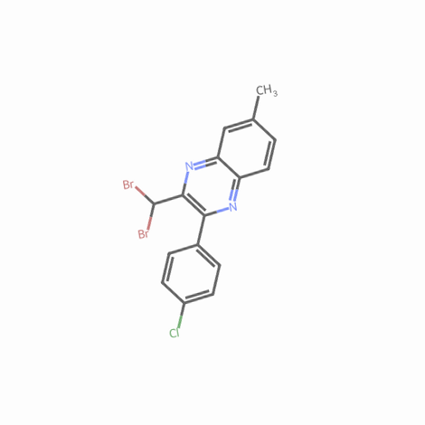 Cc1ccc2nc(-c3ccc(Cl)cc3)c(C(Br)Br)nc2c1